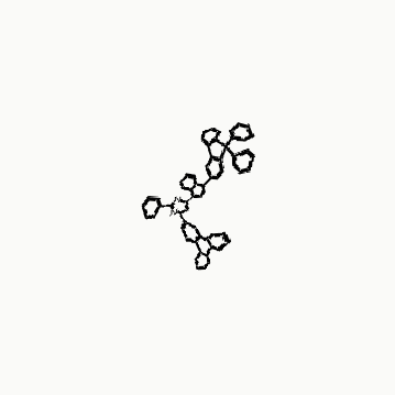 c1ccc(-c2nc(-c3ccc4c5ccccc5c5ccccc5c4c3)cc(-c3ccc(-c4ccc5c(c4)-c4ccccc4C5(c4ccccc4)c4ccccc4)c4ccccc34)n2)cc1